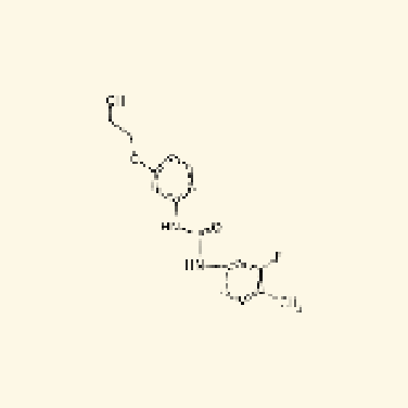 Cc1ccc(NC(=O)Nc2cccc(OCCO)c2)cc1F